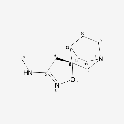 CNC1=NO[C@@]2(C1)CN1CCC2CC1